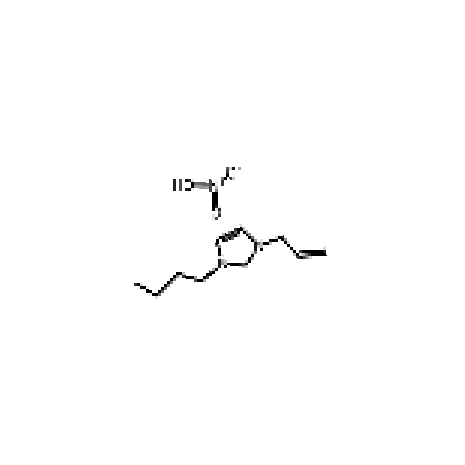 C=CCN1C=CN(CCCC)C1.O=[N+]([O-])O